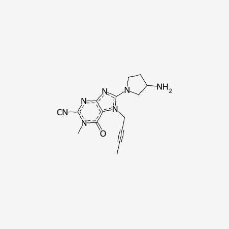 [C-]#[N+]c1nc2nc(N3CCC(N)C3)n(CC#CC)c2c(=O)n1C